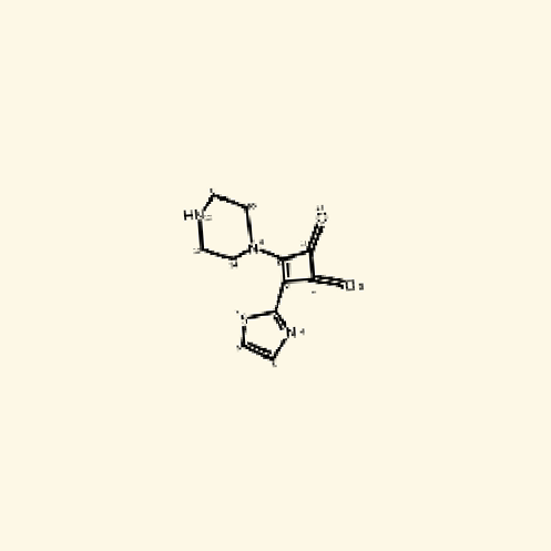 O=c1c(-c2nccs2)c(N2CCNCC2)c1=O